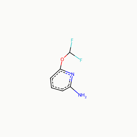 Nc1cccc(OC(F)F)n1